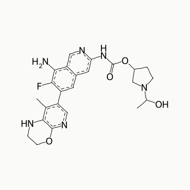 Cc1c(-c2cc3cc(NC(=O)OC4CCN(C(C)O)C4)ncc3c(N)c2F)cnc2c1NCCO2